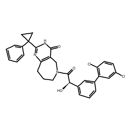 O=C([C@H](O)c1cccc(-c2cc(Cl)ccc2Cl)c1)N1CCCc2nc(C3(c4ccccc4)CC3)[nH]c(=O)c2C1